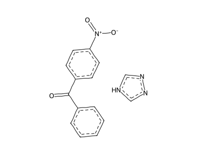 O=C(c1ccccc1)c1ccc([N+](=O)[O-])cc1.c1nnc[nH]1